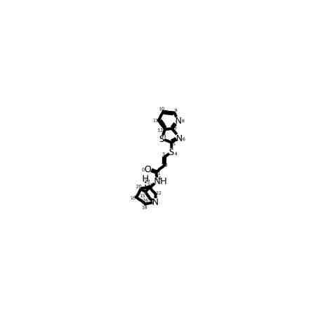 O=C(C=CSc1nc2ncccc2s1)N[C@H]1CN2CCC1CC2